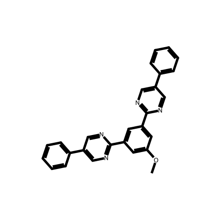 COc1cc(-c2ncc(-c3ccccc3)cn2)cc(-c2ncc(-c3ccccc3)cn2)c1